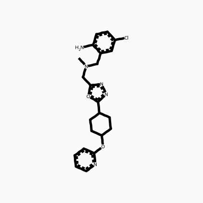 CN(Cc1nnc(C2CCC(Oc3ccccn3)CC2)o1)Cc1cc(Cl)ccc1N